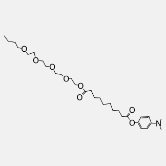 CCCCOCCOCCOCCOCCOC(=O)CCCCCCCCC(=O)Oc1ccc(N(C)C)cc1